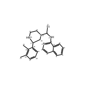 CCC(Nc1nccc2ccccc12)N1CCNC(c2cccc(C)c2C)C1